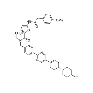 CC[C@H]1CC[C@H](C2CC=C(c3cnc(-c4ccc(CN(CC(=O)O)C(=O)c5ccc(NC(=O)Cc6ccc(OC)cc6)o5)cc4)nc3)CC2)CC1